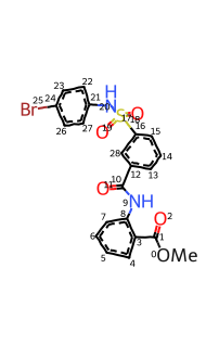 COC(=O)c1ccccc1NC(=O)c1cccc(S(=O)(=O)Nc2ccc(Br)cc2)c1